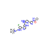 CN(C)CCNc1cc(F)cc(-c2nccc3[nH]c(-c4n[nH]c5ccc(-c6cncc(NC(=O)C7CCCC7)c6)nc45)cc23)c1